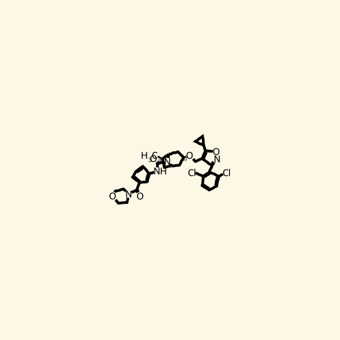 C[C@@H]1CC2C[C@H](OCc3c(-c4c(Cl)cccc4Cl)noc3C3CC3)CC1N2C(=O)Nc1cccc(C(=O)N2CCOCC2)c1